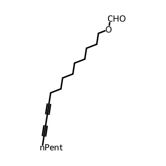 CCCCCC#CC#CCCCCCCCCCOC=O